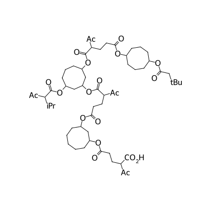 CC(=O)C(CCC(=O)OC1CCCCCC(OC(=O)CCC(C(C)=O)C(=O)OC2CC(OC(=O)C(CCC(=O)OC3CCCC(OC(=O)CC(C)(C)C)CCC3)C(C)=O)CCCC(OC(=O)C(C(C)=O)C(C)C)C2)C1)C(=O)O